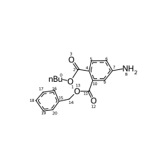 CCCCOC(=O)c1ccc(N)cc1C(=O)OCc1ccccc1